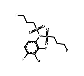 CC(=O)c1c(F)ccc(N(S(=O)(=O)CCCF)S(=O)(=O)CCCF)c1F